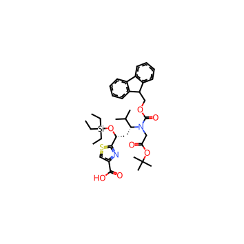 CC[Si](CC)(CC)O[C@H](C[C@H](C(C)C)N(CC(=O)OC(C)(C)C)C(=O)OCC1c2ccccc2-c2ccccc21)c1nc(C(=O)O)cs1